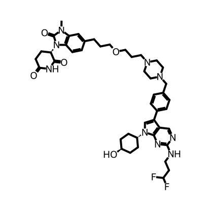 Cn1c(=O)n([C@H]2CCC(=O)NC2=O)c2ccc(CCCOCCCN3CCN(Cc4ccc(-c5cn([C@H]6CC[C@H](O)CC6)c6nc(NCCC(F)F)ncc56)cc4)CC3)cc21